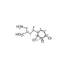 CC(CC(CN)C(=O)O)c1ccc(Cl)c(Cl)c1Cl